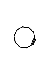 C1#CCCCCCC[CH]C1